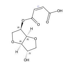 O=C(O)/C=C\C(=O)O[C@@H]1CO[C@H]2[C@@H]1OC[C@@H]2O